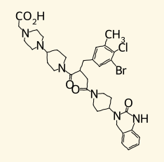 Cc1cc(CC(CC(=O)N2CCC(N3Cc4ccccc4NC3=O)CC2)C(=O)N2CCC(N3CCN(CC(=O)O)CC3)CC2)cc(Br)c1Cl